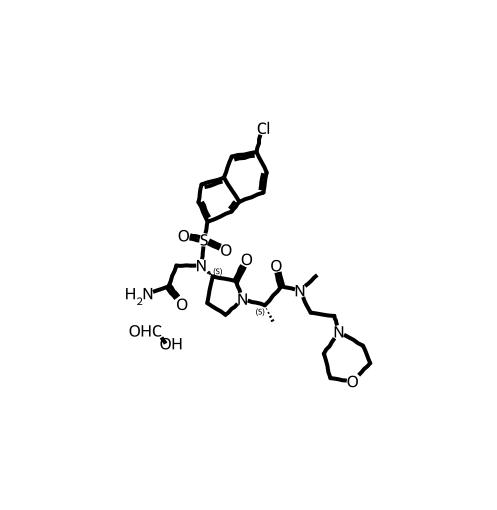 C[C@@H](C(=O)N(C)CCN1CCOCC1)N1CC[C@H](N(CC(N)=O)S(=O)(=O)c2ccc3cc(Cl)ccc3c2)C1=O.O=CO